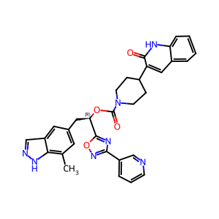 Cc1cc(C[C@@H](OC(=O)N2CCC(c3cc4ccccc4[nH]c3=O)CC2)c2nc(-c3cccnc3)no2)cc2cn[nH]c12